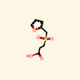 O=C(O)CCS(=O)(=O)Cc1ccco1